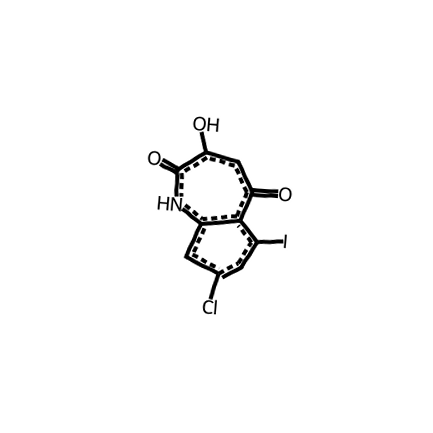 O=c1[nH]c2cc(Cl)cc(I)c2c(=O)cc1O